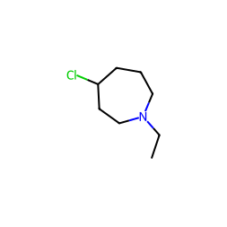 CCN1CCCC(Cl)CC1